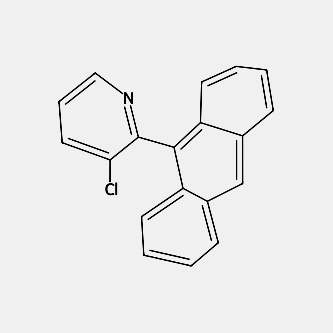 Clc1cccnc1-c1c2ccccc2cc2ccccc12